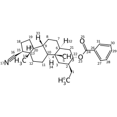 CC[C@H]1C[C@@]2(C)[C@@H](CC[C@@H]3[C@@H]2CC[C@]2(C)[C@@H](C#N)CC[C@@H]32)C[C@@H]1OC(=O)c1ccccc1